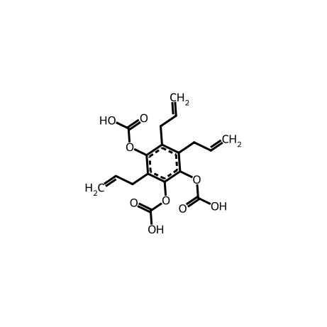 C=CCc1c(CC=C)c(OC(=O)O)c(OC(=O)O)c(CC=C)c1OC(=O)O